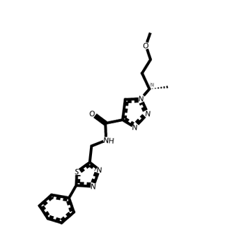 COCC[C@H](C)n1cc(C(=O)NCc2nnc(-c3ccccc3)s2)nn1